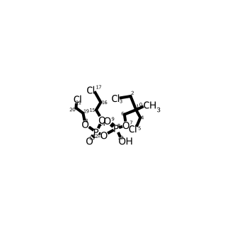 CC(CCl)(CCl)COP(=O)(O)OP(=O)(OCCCl)OCCCl